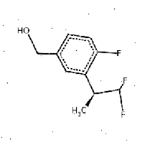 C[C@@H](c1cc(CO)ccc1F)C(F)F